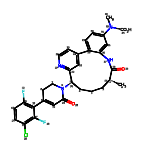 C[C@@H]1CCC[C@H](N2CCC(c3c(F)ccc(Cl)c3F)=CC2=O)c2cc(ccn2)-c2ccc(N(C)C(=O)O)cc2NC1=O